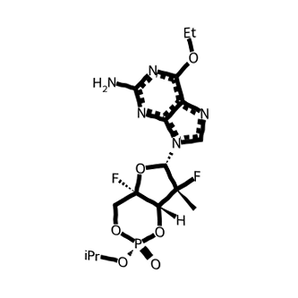 CCOc1nc(N)nc2c1ncn2[C@H]1O[C@]2(F)CO[P@@](=O)(OC(C)C)O[C@H]2[C@@]1(C)F